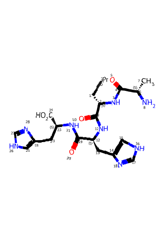 CC(C)C[C@H](NC(=O)[C@H](C)N)C(=O)N[C@@H](Cc1c[nH]cn1)C(=O)N[C@@H](Cc1c[nH]cn1)C(=O)O